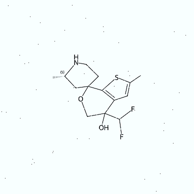 Cc1cc2c(s1)C1(CCN[C@@H](C)C1)OCC2(O)C(F)F